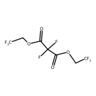 O=C(OCC(F)(F)F)C(F)(F)C(=O)OCC(F)(F)F